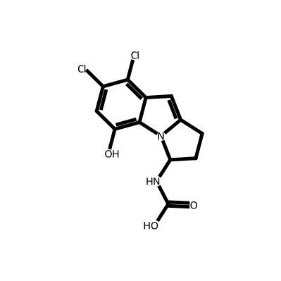 O=C(O)NC1CCc2cc3c(Cl)c(Cl)cc(O)c3n21